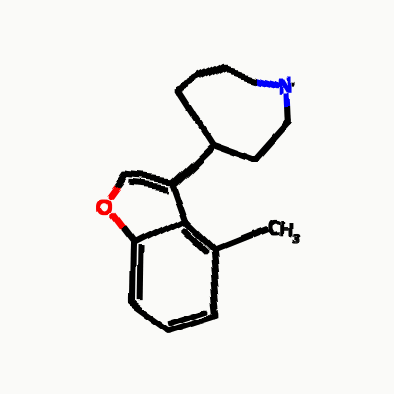 Cc1cccc2occ(C3CC[N]CC3)c12